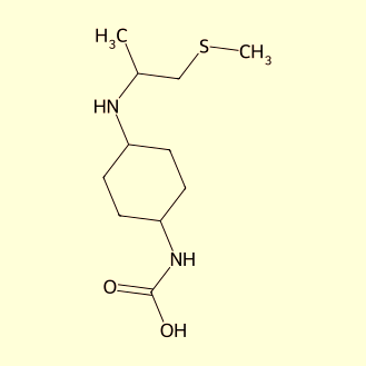 CSCC(C)NC1CCC(NC(=O)O)CC1